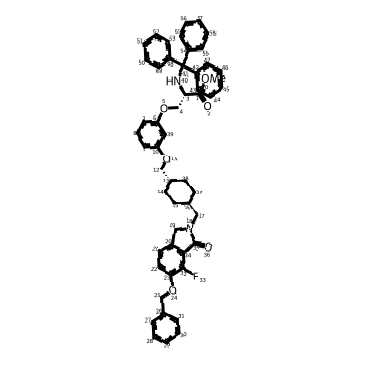 COC(=O)[C@H](COc1cccc(OC[C@H]2CC[C@H](CN3Cc4ccc(OCc5ccccc5)c(F)c4C3=O)CC2)c1)NC(c1ccccc1)(c1ccccc1)c1ccccc1